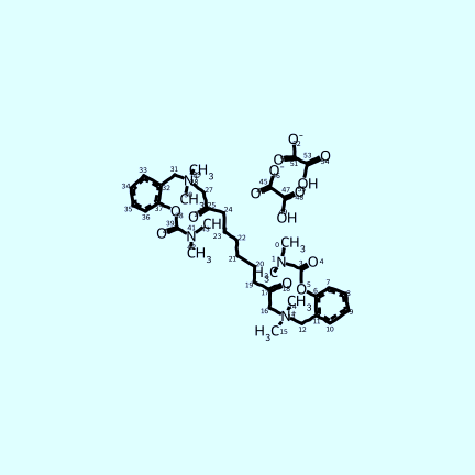 CN(C)C(=O)Oc1ccccc1C[N+](C)(C)CC(=O)CCCCCCC(=O)C[N+](C)(C)Cc1ccccc1OC(=O)N(C)C.O=C([O-])C(=O)O.O=C([O-])C(=O)O